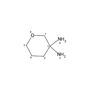 NC1(N)CCCOC1